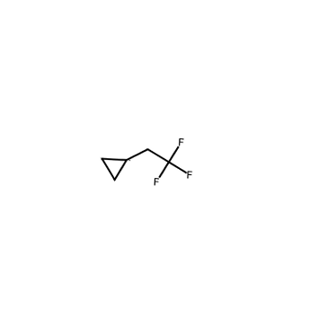 FC(F)(F)C[C]1CC1